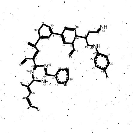 C=CC(=C\C(=C)C1=CC(C2=CC(C=C)C(C(CC=N)CNc3ccc(C)cc3)C=C2)=CCC1)/C(=N/C(N)/C(C)=C/C=C\C)/N=C/c1ccccc1